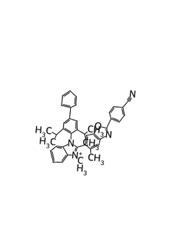 Cc1cc2nc(-c3ccc(C#N)cc3)oc2cc1-c1n(-c2c(C(C)C)cc(-c3ccccc3)cc2C(C)C)c2ccccc2[n+]1C